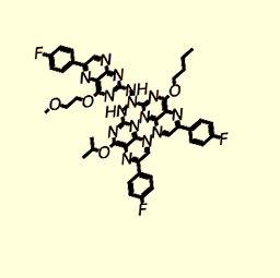 CCCCOc1nc(N(Nc2nc(OCCOC)c3nc(-c4ccc(F)cc4)cnc3n2)Nc2nc(OC(C)C)c3nc(-c4ccc(F)cc4)cnc3n2)nc2ncc(-c3ccc(F)cc3)nc12